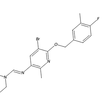 CCN(C)/C=N/c1cc(Br)c(OCc2ccc(F)c(C)c2)nc1C